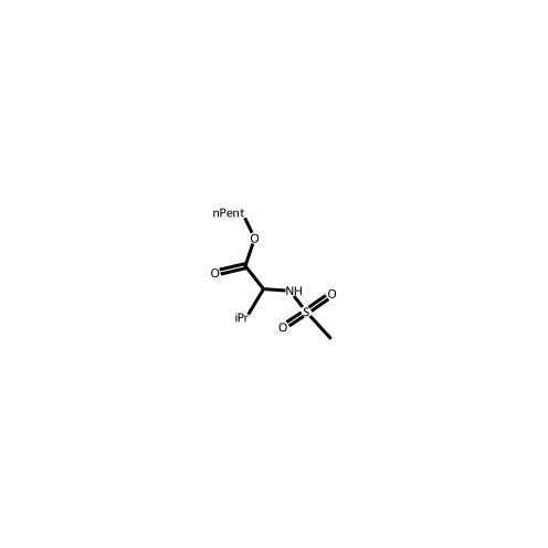 CCCCCOC(=O)C(NS(C)(=O)=O)C(C)C